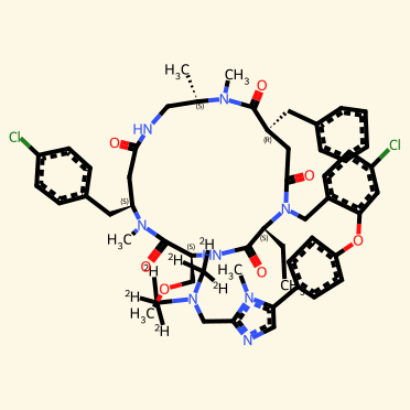 [2H]C([2H])([2H])N(Cc1ncc(-c2ccc(Oc3cc(Cl)ccc3CN3C(=O)C[C@@H](Cc4ccccc4)C(=O)N(C)[C@@H](C)CNC(=O)C[C@H](Cc4ccc(Cl)cc4)N(C)C(=O)[C@H](COC)NC(=O)[C@@H]3CC)cc2)n1C)C([2H])([2H])[2H]